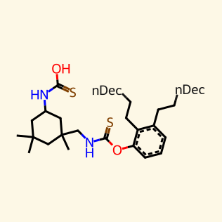 CCCCCCCCCCCCc1cccc(OC(=S)NCC2(C)CC(NC(O)=S)CC(C)(C)C2)c1CCCCCCCCCCCC